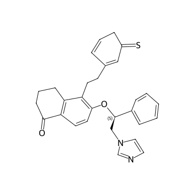 O=C1CCCc2c1ccc(O[C@H](Cn1ccnc1)c1ccccc1)c2CCC1=CC(=S)CC=C1